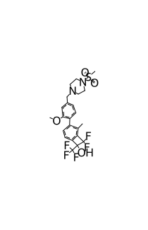 COc1cc(CN2CCN(S(C)(=O)=O)CC2)ccc1-c1ccc2c(c1C)C(F)(F)C2(O)C(F)(F)F